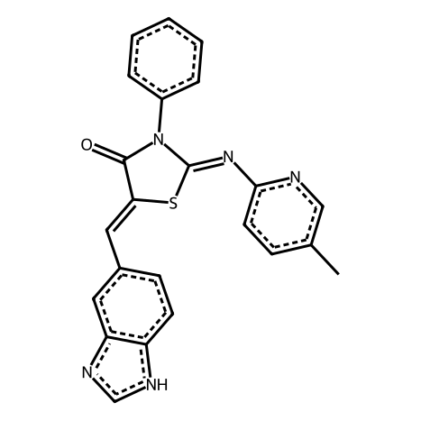 Cc1ccc(N=C2SC(=Cc3ccc4[nH]cnc4c3)C(=O)N2c2ccccc2)nc1